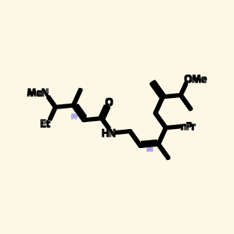 C=C(CC(CCC)/C(C)=C\CNC(=O)/C=C(\C)C(CC)NC)C(C)OC